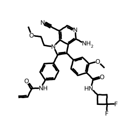 C=CC(=O)Nc1ccc(-c2c(-c3ccc(C(=O)NC4CC(F)(F)C4)c(OC)c3)c3c(N)ncc(C#N)c3n2CCOC)cc1